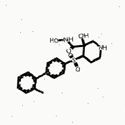 Cc1ccccc1-c1ccc(S(=O)(=O)C2CCNCC2(O)C(=O)NO)cc1